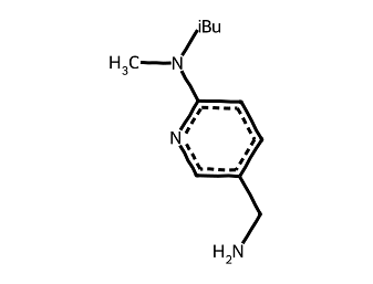 CCC(C)N(C)c1ccc(CN)cn1